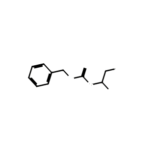 [CH2]CCCC(CC=O)NC(=O)OCc1ccccc1